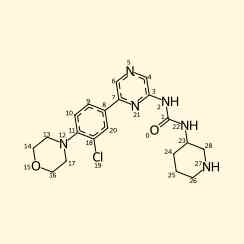 O=C(Nc1cncc(-c2ccc(N3CCOCC3)c(Cl)c2)n1)NC1CCCNC1